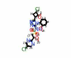 COc1cccc(OC)c1-n1c(NS(=O)(=O)[C@@H](C)[C@H](OC)c2ncc(Cl)cn2)nnc1C1CC(Cl)C1